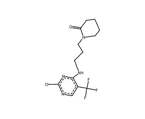 O=C1CCCCN1CCCNc1nc(Cl)ncc1C(F)(F)F